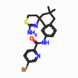 CC1(C)Cc2ccc(NC(=O)c3ccc(Br)cn3)cc2C2(CCSC(N)=N2)C1